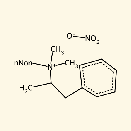 CCCCCCCCC[N+](C)(C)C(C)Cc1ccccc1.O=[N+]([O-])[O-]